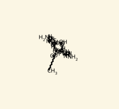 CCCCCCCCCC(=O)OCSP1(=O)OC[C@H]2O[C@@H](n3cnc4c(N)ncnc43)[C@H](F)[C@@H]2OCP(=O)(O)OC[C@H]2O[C@@H](n3cnc4c(N)ncnc43)[C@H](F)[C@@H]2O1